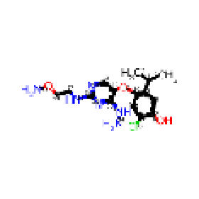 CC(C)c1cc(O)c(Cl)cc1Oc1cnc(NCCON)nc1NN